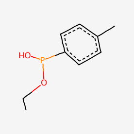 CCOP(O)c1ccc(C)cc1